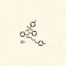 Cc1ccc(COCCN[C@H](c2ccccc2)[C@H](NS(=O)(=O)c2ccc(C)cc2)c2ccccc2)cc1.[Cl+].[Ru+2]